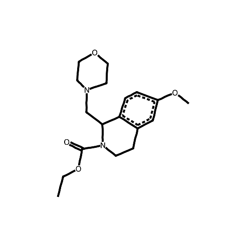 CCOC(=O)N1CCc2cc(OC)ccc2C1CN1CCOCC1